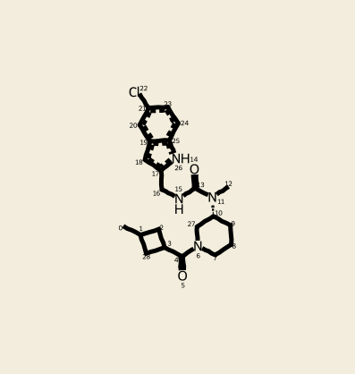 CC1CC(C(=O)N2CCC[C@@H](N(C)C(=O)NCc3cc4cc(Cl)ccc4[nH]3)C2)C1